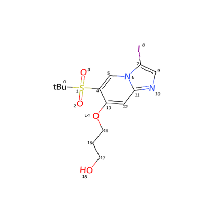 CC(C)(C)S(=O)(=O)c1cn2c(I)cnc2cc1OCCCO